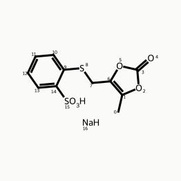 Cc1oc(=O)oc1CSc1ccccc1S(=O)(=O)O.[NaH]